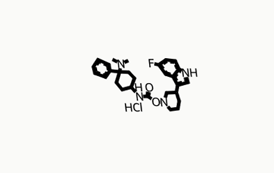 CN(C)C1(c2ccccc2)CCC(NC(=O)ON2CCCC(c3c[nH]c4ccc(F)cc34)C2)CC1.Cl